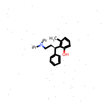 Cc1cccc(O)c1[C@H](CCN(C(C)C)C(C)C)c1ccccc1